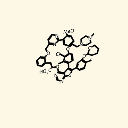 COc1ccccc1-c1nccc(COc2ccccc2C[C@@H](Oc2ncnc3sc(-c4ccc(F)c(OC5CCCCO5)c4)c(-c4ccc(OCCN5CCN(C)CC5)c(Cl)c4C)c23)C(=O)O)n1